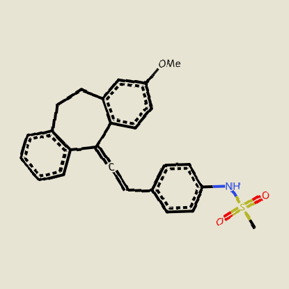 COc1ccc2c(c1)CCc1ccccc1C2=C=Cc1ccc(NS(C)(=O)=O)cc1